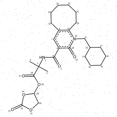 CC(C)(NC(=O)c1cc2c(n(CC3CCCCC3)c1=O)CCCCCC2)C(=O)OC1COC(=O)O1